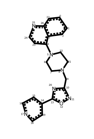 c1ccc2c(N3CCN(Cc4noc(-c5ccncc5)n4)CC3)ccnc2c1